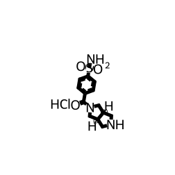 Cl.NS(=O)(=O)c1ccc(C(=O)N2C[C@H]3CNC[C@H]3C2)cc1